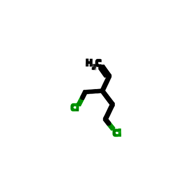 C=CC(CCl)CCCl